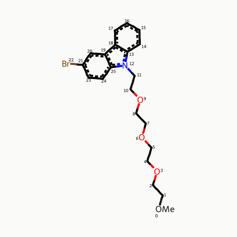 COCCOCCOCCOCCn1c2ccccc2c2cc(Br)ccc21